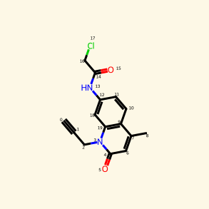 C#CCn1c(=O)cc(C)c2ccc(NC(=O)CCl)cc21